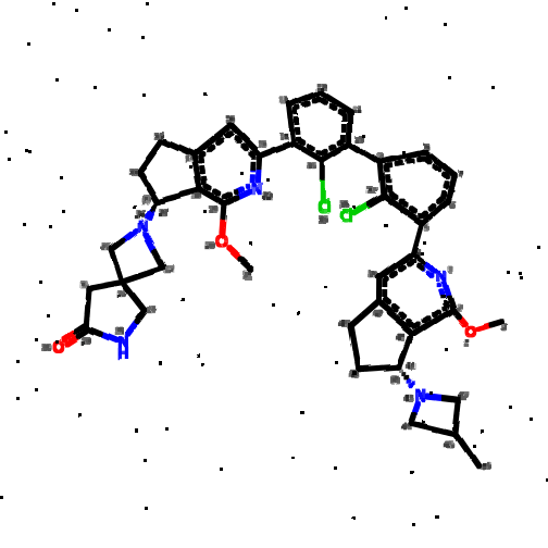 COc1nc(-c2cccc(-c3cccc(-c4cc5c(c(OC)n4)[C@@H](N4CC6(CNC(=O)C6)C4)CC5)c3Cl)c2Cl)cc2c1[C@H](N1CC(C)C1)CC2